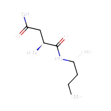 CSCC[C@@H]([C]=O)NC(=O)[C@@H](N)CC(N)=O